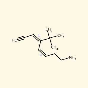 C#C/C=C(\C=C/CCN)C(C)(C)C